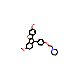 COc1ccc2c3c(sc2c1)C1=CC(OC)CCC1=C3c1ccc(OCCN2CCCCC2)cc1